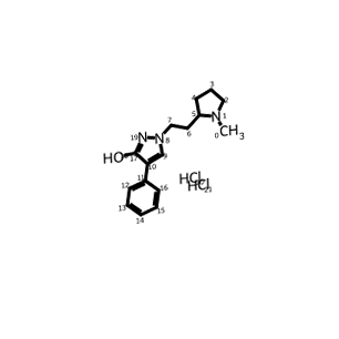 CN1CCCC1CCn1cc(-c2ccccc2)c(O)n1.Cl.Cl